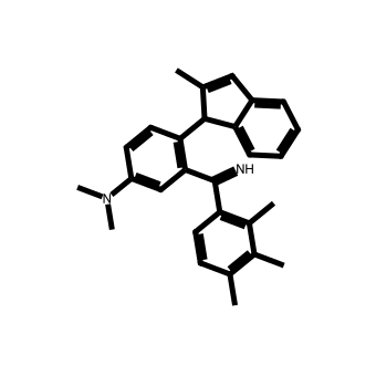 CC1=Cc2ccccc2C1c1ccc(N(C)C)cc1C(=N)c1ccc(C)c(C)c1C